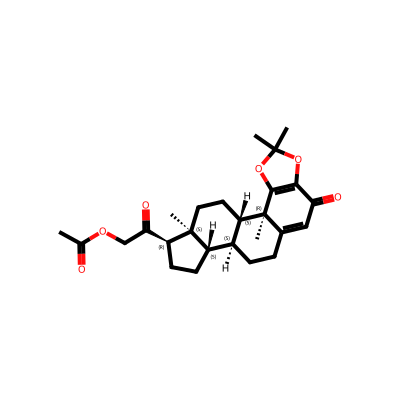 CC(=O)OCC(=O)[C@@H]1CC[C@H]2[C@@H]3CCC4=CC(=O)C5=C(OC(C)(C)O5)[C@]4(C)[C@H]3CC[C@]12C